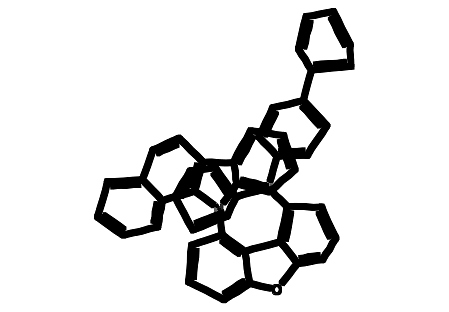 c1ccc(-c2ccc(N(c3ccccc3)c3cccc4oc5cccc(-n6c7ccccc7c7ccc8ccccc8c76)c5c34)cc2)cc1